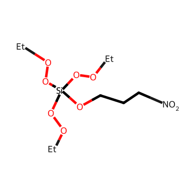 CCOO[Si](OCCC[N+](=O)[O-])(OOCC)OOCC